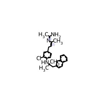 CC(=C/Cc1ccc(NC(C)(C)Cc2ccc3ccccc3c2)c(Cl)c1)/N=C(/C)N